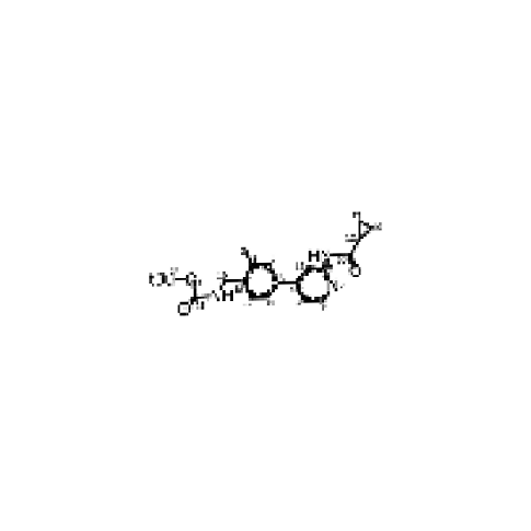 Cc1cc(-c2ccnc(NC(=O)C3CC3)c2)ccc1CNC(=O)OC(C)(C)C